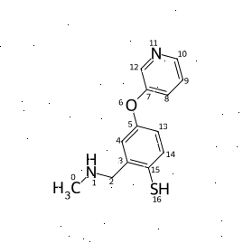 CNCc1cc(Oc2cccnc2)ccc1S